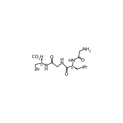 CC(C)C[C@H](NC(=O)CNC(=O)[C@H](CC(C)C)NC(=O)CN)C(=O)O